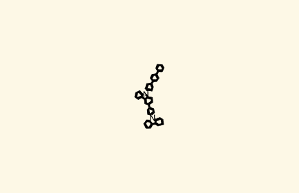 c1ccc(-c2ccc(-c3ccc(-n4c5ccccc5c5cc(-c6ccc(-n7c8ccccc8c8ccccc87)cc6)ccc54)cc3)cc2)cc1